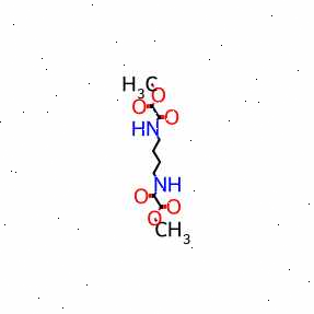 COC(=O)C(=O)NCCCCNC(=O)C(=O)OC